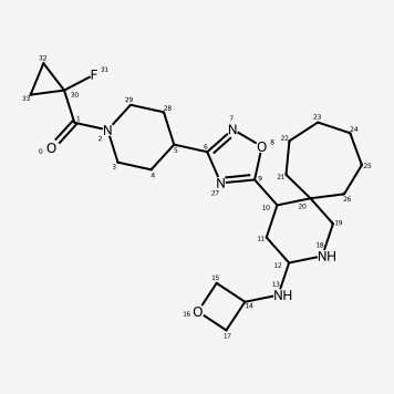 O=C(N1CCC(c2noc(C3CC(NC4COC4)NCC34CCCCCC4)n2)CC1)C1(F)CC1